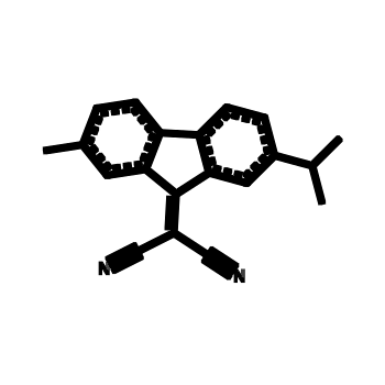 Cc1ccc2c(c1)C(=C(C#N)C#N)c1cc(C(C)C)ccc1-2